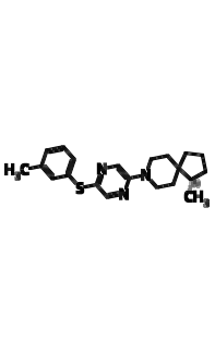 Cc1cccc(Sc2cnc(N3CCC4(CCC[C@@H]4C)CC3)cn2)c1